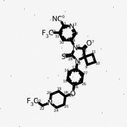 N#Cc1ncc(N2C(=O)C3(CCC3)N(c3ccc(OC4CCN(CC(F)(F)F)CC4)cc3)C2=S)cc1C(F)(F)F